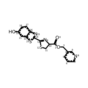 O=C(OCc1cccnc1)C1CSC(c2nc3ccc(O)cc3s2)=N1